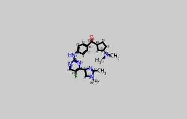 Cc1nc(-c2nc(Nc3ccc(C(=O)C4CC[C@H](N(C)C)C4)cc3)ncc2F)cn1C(C)C